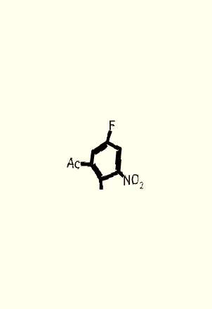 CC(=O)c1cc(F)cc([N+](=O)[O-])c1C